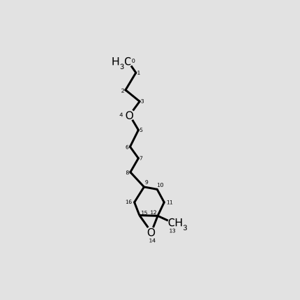 CCCCOCCCCC1CCC2(C)OC2C1